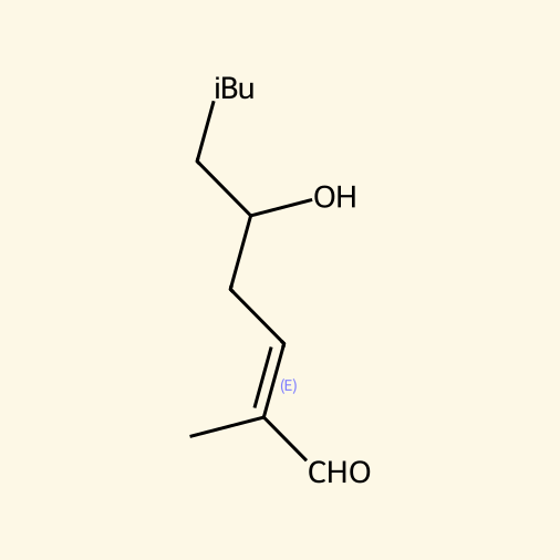 CCC(C)CC(O)C/C=C(\C)C=O